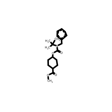 COC(=O)C1CCC(OC(=O)N(Cc2ccccc2)C(C)(C)C)CC1